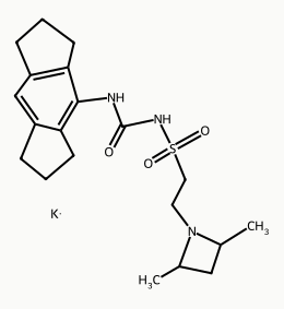 CC1CC(C)N1CCS(=O)(=O)NC(=O)Nc1c2c(cc3c1CCC3)CCC2.[K]